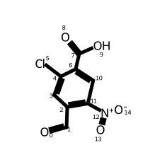 O=Cc1cc(Cl)c(C(=O)O)cc1[N+](=O)[O-]